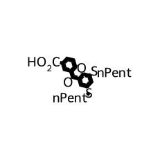 CCCCCSc1cc(SCCCCC)c2oc3ccc(C(=O)O)cc3c(=O)c2c1